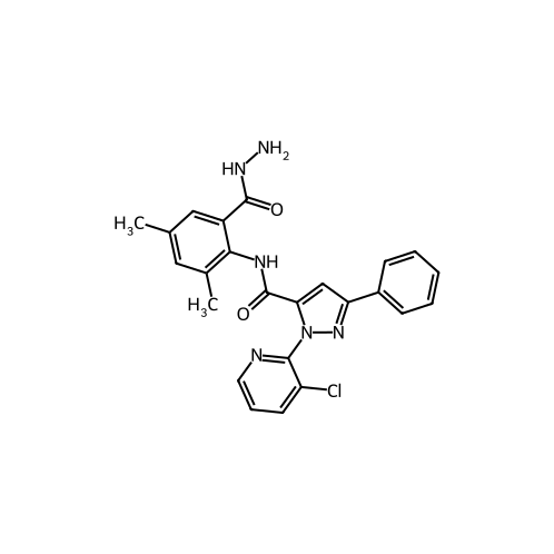 Cc1cc(C)c(NC(=O)c2cc(-c3ccccc3)nn2-c2ncccc2Cl)c(C(=O)NN)c1